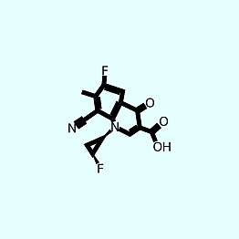 Cc1c(F)cc2c(=O)c(C(=O)O)cn([C@@H]3C[C@@H]3F)c2c1C#N